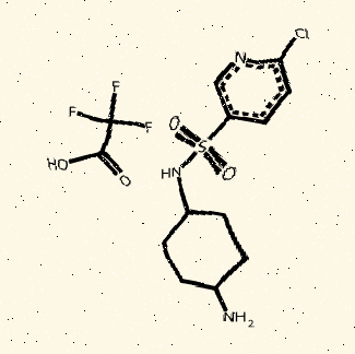 NC1CCC(NS(=O)(=O)c2ccc(Cl)nc2)CC1.O=C(O)C(F)(F)F